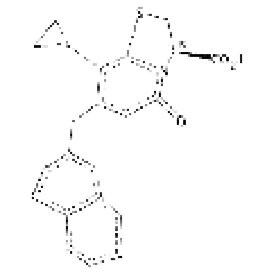 O=C(O)[C@@H]1CSc2c(C3CC3)c(Cc3ccc4ccccc4c3)cc(=O)n21